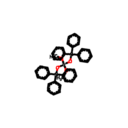 C[O][Zr]([O]C)([O][Si](c1ccccc1)(c1ccccc1)c1ccccc1)[O][Si](c1ccccc1)(c1ccccc1)c1ccccc1